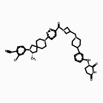 C[C@H]1CC2(CCN(c3ccc(C(=O)N4CC(CN5CCC(c6cccc(N[C@@H]7CCC(=O)NC7=O)c6)CC5)C4)nn3)CC2)CN1c1ccc(C#N)c(Cl)c1